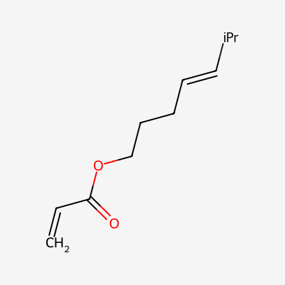 C=CC(=O)OCCCC=CC(C)C